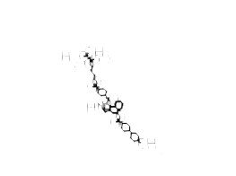 C=C(C)C(=O)OCCCCOC(=O)C1CCC(C(=O)Oc2c(C=N)cc(OC(=O)C3CCC(C4CCC(C)CC4)CC3)c3ccccc23)CC1